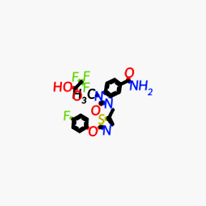 Cn1c(=O)n(Cc2cnc(Oc3ccc(F)cc3)s2)c2cc(C(N)=O)ccc21.O=C(O)C(F)(F)F